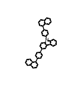 c1ccc2c(-c3ccc(-c4ccc5c(c4)c4ccccc4n5-c4ccc(-c5cccc6ccccc56)cc4)cc3)cccc2c1